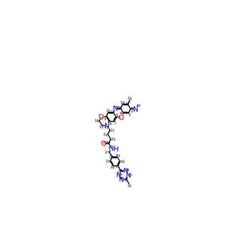 C/N=c1/cc2oc3cc4c(cc3nc-2cc1C)OCCN4CCCC(=O)NCc1ccc(-c2nnc(C)nn2)cc1